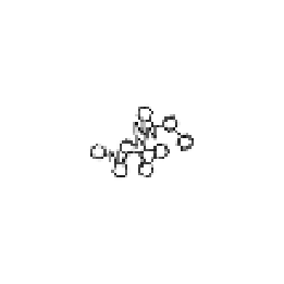 c1ccc(-c2cccc(-c3nc(-n4c5ccc6c(c7ccccc7n6-c6ccccc6)c5c5c6ccccc6c6ccccc6c54)nc4ccccc34)c2)cc1